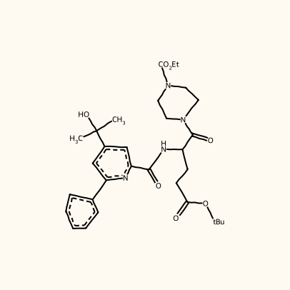 CCOC(=O)N1CCN(C(=O)C(CCC(=O)OC(C)(C)C)NC(=O)c2cc(C(C)(C)O)cc(-c3ccccc3)n2)CC1